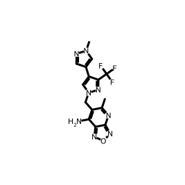 Cc1nc2nonc2c(N)c1Cn1cc(-c2cnn(C)c2)c(C(F)(F)F)n1